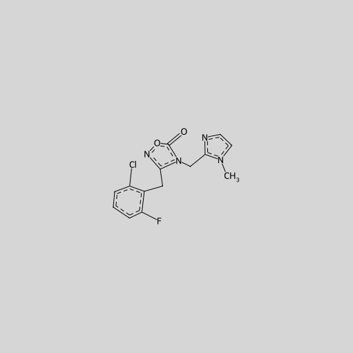 Cn1ccnc1Cn1c(Cc2c(F)cccc2Cl)noc1=O